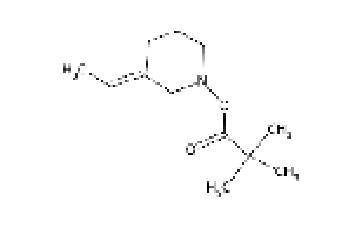 CC=C1CCCN(OC(=O)C(C)(C)C)C1